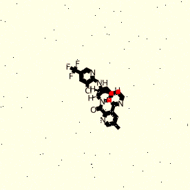 Cc1cnc(C(=O)N2C[C@@H]3CC[C@H]2[C@H](Nc2ncc(C(F)(F)F)cc2Cl)C3)c(-c2ncccn2)c1